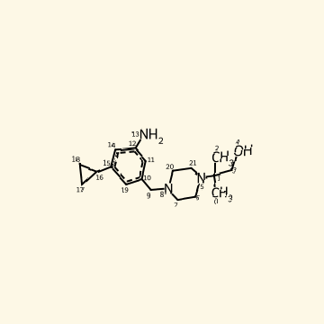 CC(C)(CO)N1CCN(Cc2cc(N)cc(C3CC3)c2)CC1